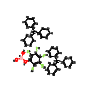 [O-]B([O-])Oc1c(F)c(F)c(F)c(F)c1F.c1ccc([C+](c2ccccc2)c2ccccc2)cc1.c1ccc([C+](c2ccccc2)c2ccccc2)cc1